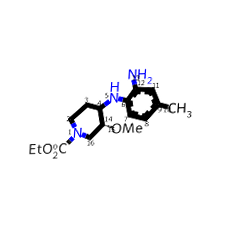 CCOC(=O)N1CCC(Nc2ccc(C)cc2N)[C@H](OC)C1